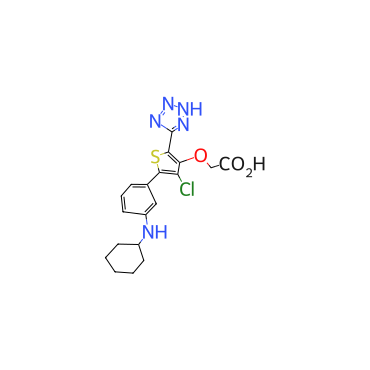 O=C(O)COc1c(-c2nn[nH]n2)sc(-c2cccc(NC3CCCCC3)c2)c1Cl